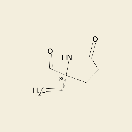 C=C[C@@]1(C=O)CCC(=O)N1